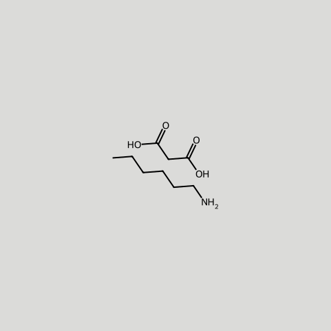 CCCCCCN.O=C(O)CC(=O)O